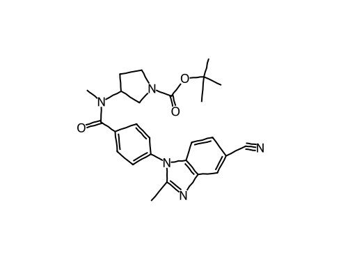 Cc1nc2cc(C#N)ccc2n1-c1ccc(C(=O)N(C)C2CCN(C(=O)OC(C)(C)C)C2)cc1